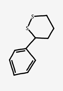 c1ccc([C]2CCCSS2)cc1